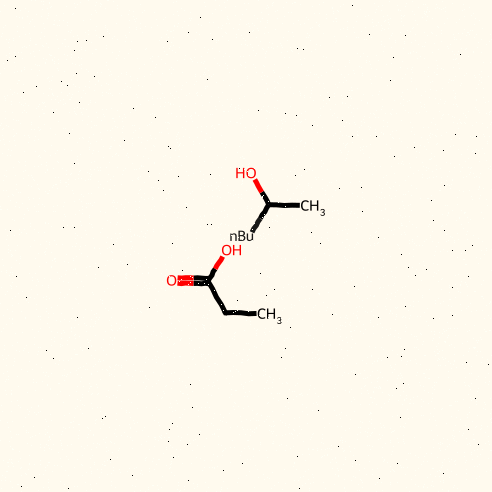 CCC(=O)O.CCCCC(C)O